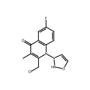 O=c1c(I)c(CCl)n(N2C=CON2)c2ccc(F)cc12